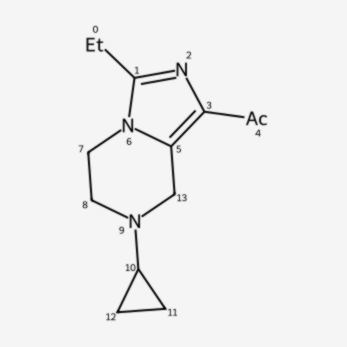 CCc1nc(C(C)=O)c2n1CCN(C1CC1)C2